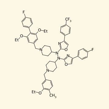 CCOc1cc(CN2CCC(N(c3nc(-c4ccc(F)cc4)co3)N(c3nc(-c4ccc(C(F)(F)F)cc4)co3)C3CCN(Cc4cc(OCC)c(-c5ccc(F)cc5)c(OCC)c4)CC3)CC2)ccc1C